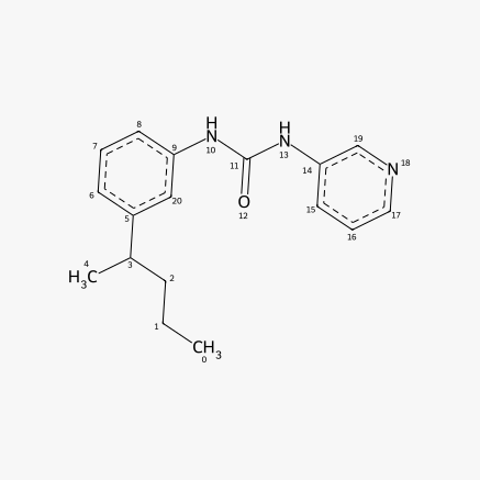 CCCC(C)c1cccc(NC(=O)Nc2cccnc2)c1